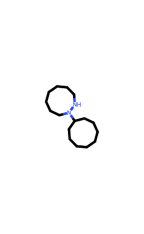 C1CCCCC(N2CCCCCCCN2)CCC1